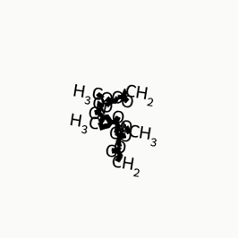 C=CC(=O)OCC(=O)ON(OCC)C(=O)c1ccc(C)c(C(=O)N(OCC)OC(=O)COC(=O)C=C)c1